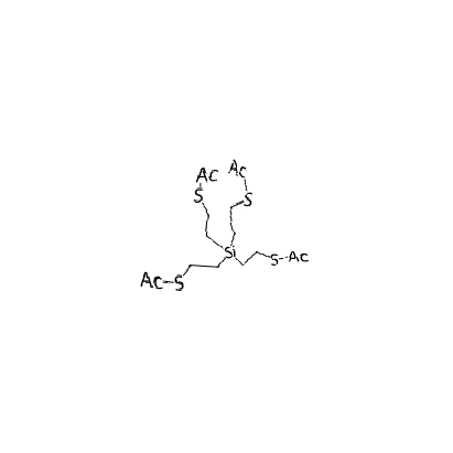 CC(=O)SCC[Si](CCSC(C)=O)(CCSC(C)=O)CCSC(C)=O